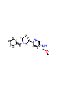 COCNc1ccc(C2CCCN(Cc3ccccc3)C2)nc1